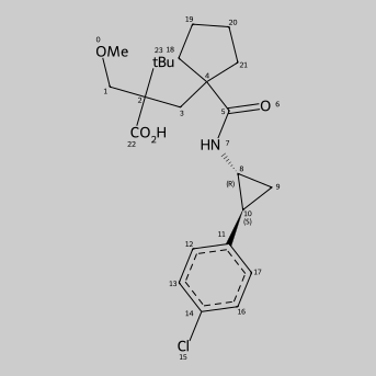 COCC(CC1(C(=O)N[C@@H]2C[C@H]2c2ccc(Cl)cc2)CCCC1)(C(=O)O)C(C)(C)C